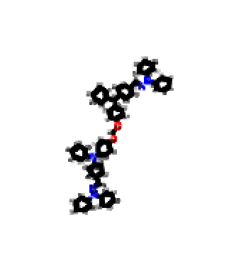 C(=NN(c1ccccc1)c1ccccc1)c1ccc(C(c2ccccc2)c2ccc(OCOc3ccc(N(c4ccccc4)c4ccc(C=NN(c5ccccc5)c5ccccc5)cc4)cc3)cc2)cc1